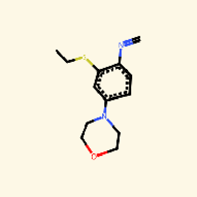 C=Nc1ccc(N2CCOCC2)cc1SCC